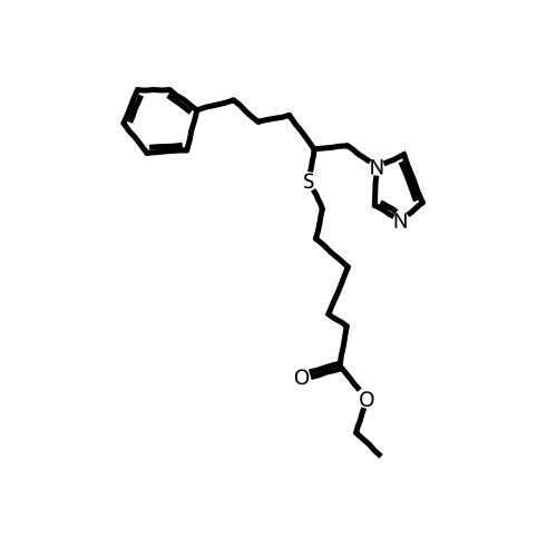 CCOC(=O)CCCCCSC(CCCc1ccccc1)Cn1ccnc1